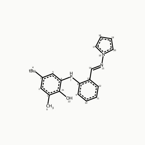 Cc1cc(C(C)(C)C)cc(Pc2ccccc2/C=N/n2cccc2)c1O